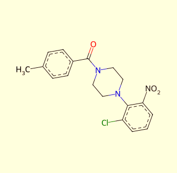 Cc1ccc(C(=O)N2CCN(c3c(Cl)cccc3[N+](=O)[O-])CC2)cc1